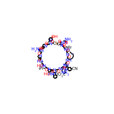 CC(C)C[C@@H]1NC(=O)C2CC/C=C/CCCCC(NC(=O)[C@H](Cc3cn(CCC(=O)O)c4ccc(C#N)cc34)NC(=O)[C@H](CCN)NC(=O)[C@H](Cc3c[nH]c4ccccc34)NC(=O)[C@@H]3C[C@@H](O)CN3C(=O)[C@H](CC(C)C)NC(O)CNC(=O)[C@H]3CCCN3C(=O)[C@@H](CC(N)=O)NC(=O)[C@@H]3CCCN3C(=O)[C@H](Cc3ccc(O)cc3)NC(=O)CSC[C@@H](C(=O)NCC(N)=O)N(C)C1=O)C(=O)N2C